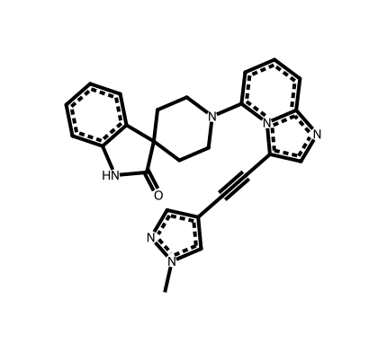 Cn1cc(C#Cc2cnc3cccc(N4CCC5(CC4)C(=O)Nc4ccccc45)n23)cn1